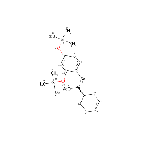 CC(=O)OC([Se]c1ccc(O[Si](C)(C)C(C)(C)C)cc1O[Si](C)(C)C(C)(C)C)[C@H]1CC=CCC1